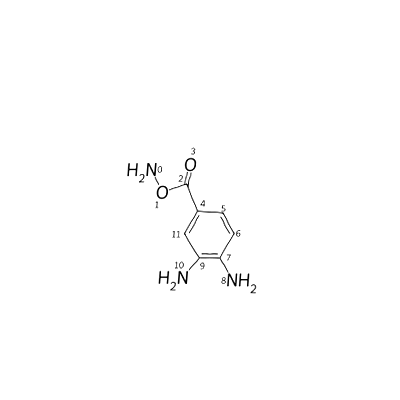 NOC(=O)c1ccc(N)c(N)c1